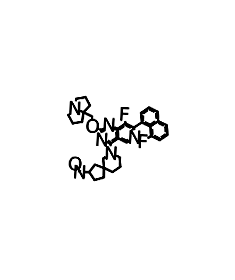 O=NC1CCC2(CCCN(c3nc(OCC45CCCN4CCC5)nc4c(F)c(-c5cccc6cccc(F)c56)ncc34)C2)C1